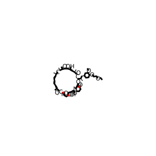 C=C1[C@H](C)C[C@H](C)/C=C/C=C/C=C(\C)[C@@H](OC)C[C@@H]2CC[C@@H](C)[C@@](O)(O2)C(=O)C(=O)N2CCCC[C@H]2C(=O)O[C@H]([C@H](C)C[C@@H]2CC[C@@H](OCCOCC)[C@H](OC)C2)CC(=O)[C@H](C)/C=C(\C)[C@@H](O)[C@H]1OC